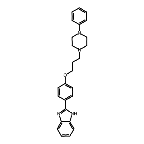 c1ccc(N2CCN(CCCOc3ccc(-c4nc5ccccc5[nH]4)cc3)CC2)cc1